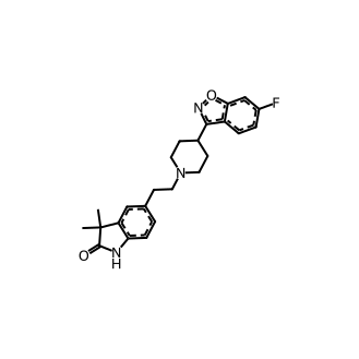 CC1(C)C(=O)Nc2ccc(CCN3CCC(c4noc5cc(F)ccc45)CC3)cc21